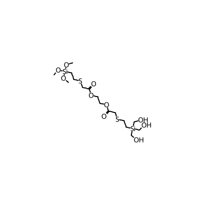 CO[Si](CCSCC(=O)OCCOC(=O)CSCC[Si](CO)(CO)CO)(OC)OC